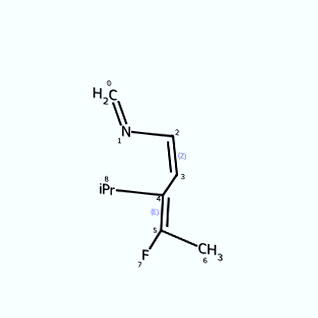 C=N/C=C\C(=C(/C)F)C(C)C